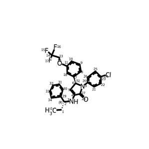 CC[C@@H](NC1=C[C@@H](c2cccc(OCC(F)(F)F)c2)N(c2ccc(Cl)cc2)C1=O)c1ccccc1